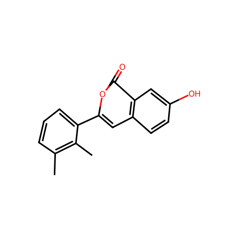 Cc1cccc(-c2cc3ccc(O)cc3c(=O)o2)c1C